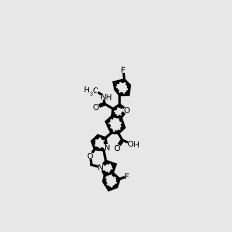 CNC(=O)c1c(-c2ccc(F)cc2)oc2cc(C(=O)O)c(-c3ccc4c(n3)-c3cc5c(F)cccc5n3CO4)cc12